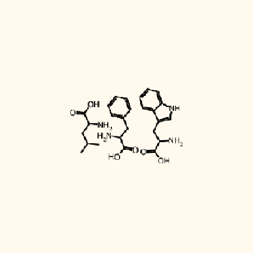 CC(C)CC(N)C(=O)O.NC(Cc1c[nH]c2ccccc12)C(=O)O.NC(Cc1ccccc1)C(=O)O